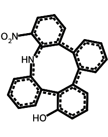 O=[N+]([O-])c1cccc2c1[nH]c1ccccc1c1c(O)cccc1c1ccccc21